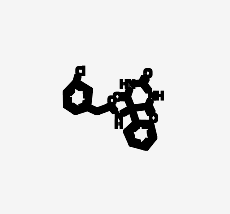 O=C(Cc1cccc(Cl)c1)NC1(c2ccccc2)C(=O)NC(=O)NC1=O